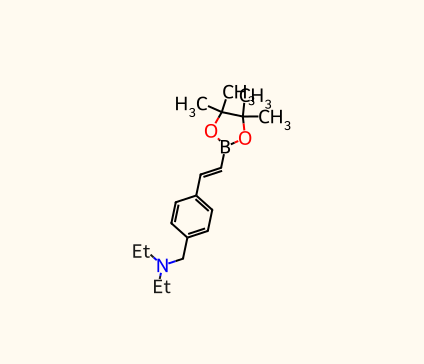 CCN(CC)Cc1ccc(C=CB2OC(C)(C)C(C)(C)O2)cc1